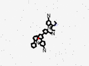 C/C=C\c1c2c(n(-c3ccc(-c4cccc(-c5ccc(C#N)cc5-n5c6ccccc6c6ccccc65)c4)cc3C#N)c1CC)C=CC(C#N)C2